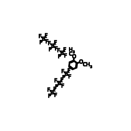 COc1ccccc1OC.F[B-](F)(F)F.F[B-](F)(F)F.F[B-](F)(F)F.F[B-](F)(F)F.F[B-](F)(F)F.F[B-](F)(F)F